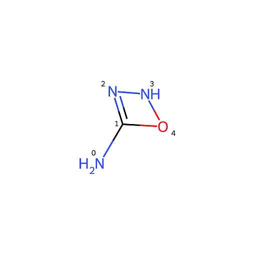 Nc1n[nH]o1